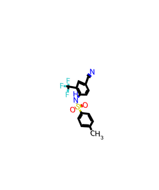 Cc1ccc(S(=O)(=O)Nc2ccc(C#N)cc2C(F)(F)F)cc1